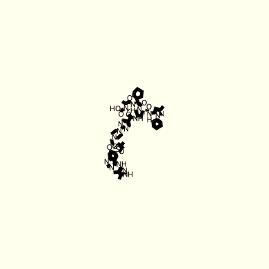 Cc1cc(NC(=O)[C@@H]2C[C@H](NC(=O)c3cnc(N4CCN(CCOc5cc6ncnc(Nc7n[nH]c(C)c7C)c6cc5S(=O)(=O)C(C)(C)C)CC4)nc3)CN2C(=O)[C@@H](NC(=O)C(C)N(C)C(=O)O)C2CCCCC2)n(-c2ccccc2)n1